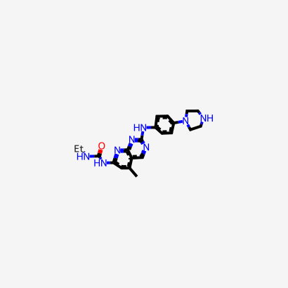 CCNC(=O)Nc1cc(C)c2cnc(Nc3ccc(N4CCNCC4)cc3)nc2n1